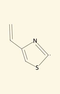 C=Cc1cs[c]n1